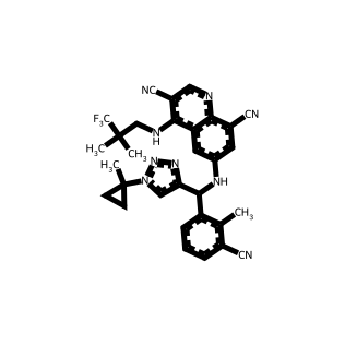 Cc1c(C#N)cccc1C(Nc1cc(C#N)c2ncc(C#N)c(NCC(C)(C)C(F)(F)F)c2c1)c1cn(C2(C)CC2)nn1